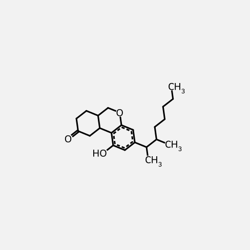 CCCCCC(C)C(C)c1cc(O)c2c(c1)OCC1CCC(=O)CC21